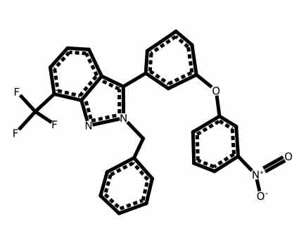 O=[N+]([O-])c1cccc(Oc2cccc(-c3c4cccc(C(F)(F)F)c4nn3Cc3ccccc3)c2)c1